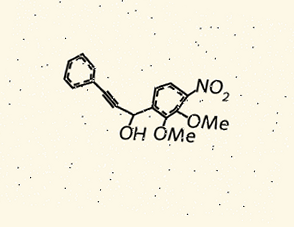 COc1c(C(O)C#Cc2ccccc2)ccc([N+](=O)[O-])c1OC